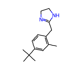 Cc1cc(C(C)(C)C)ccc1CC1=NCCN1